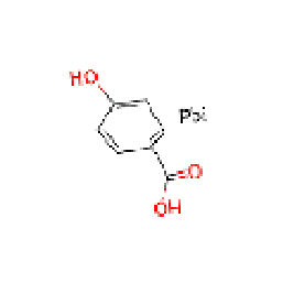 O=C(O)c1ccc(O)cc1.[Pb]